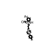 CC(=O)c1ccc(NCCCCCN2CCN(c3ccc(F)cc3)CC2)c(ON=O)c1